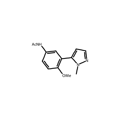 COc1ccc(NC(C)=O)cc1-c1ccnn1C